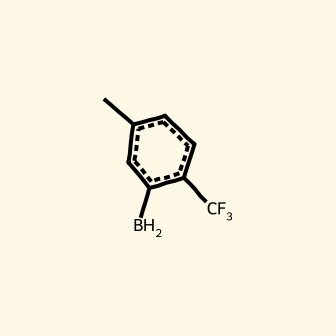 Bc1cc(C)ccc1C(F)(F)F